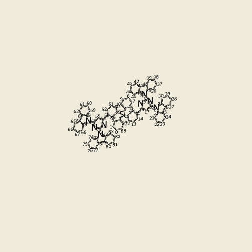 c1ccc([Si](c2ccccc2)(c2cccc(-c3cc(-n4c5ccccc5c5ccccc54)nc(-n4c5ccccc5c5ccccc54)n3)c2)c2cccc(-c3cc(-n4c5ccccc5c5ccccc54)nc(-n4c5ccccc5c5ccccc54)n3)c2)cc1